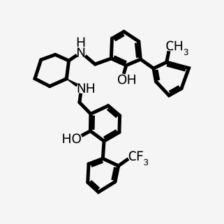 Cc1ccccc1-c1cccc(CNC2CCCC[C@@H]2NCc2cccc(-c3ccccc3C(F)(F)F)c2O)c1O